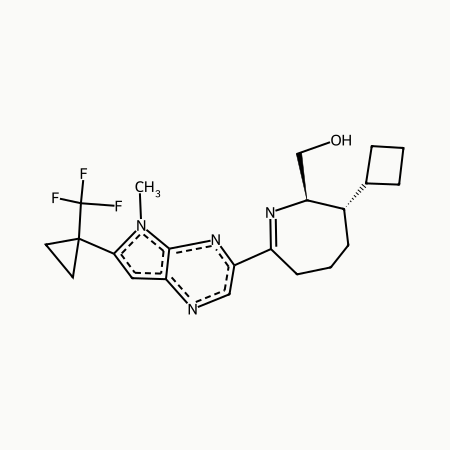 Cn1c(C2(C(F)(F)F)CC2)cc2ncc(C3=N[C@@H](CO)[C@H](C4CCC4)CCC3)nc21